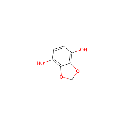 Oc1ccc(O)c2c1OCO2